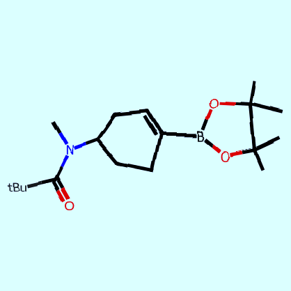 CN(C(=O)C(C)(C)C)C1CC=C(B2OC(C)(C)C(C)(C)O2)CC1